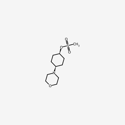 CS(=O)(=O)O[C@H]1CC[C@@H](N2CCOCC2)CC1